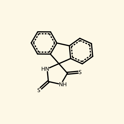 S=C1NC(=S)C2(N1)c1ccccc1-c1ccccc12